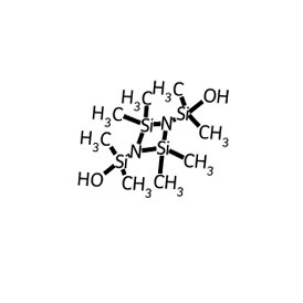 C[Si](C)(O)N1[Si](C)(C)N([Si](C)(C)O)[Si]1(C)C